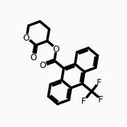 O=C(OC1CCCOC1=O)c1c2ccccc2c(C(F)(F)F)c2ccccc12